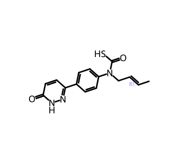 C/C=C/CN(C(=O)S)c1ccc(-c2ccc(=O)[nH]n2)cc1